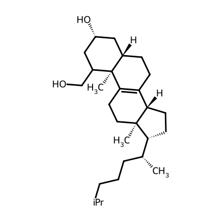 CC(C)CCC[C@@H](C)[C@H]1CC[C@H]2C3=C(CC[C@]12C)[C@@]1(C)C(CO)C[C@H](O)C[C@@H]1CC3